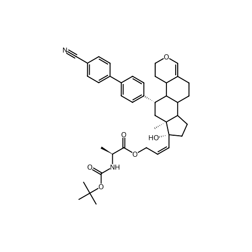 C[C@H](NC(=O)OC(C)(C)C)C(=O)OC/C=C\[C@]1(O)CCC2C3CCC4=COCCC4C3[C@@H](c3ccc(-c4ccc(C#N)cc4)cc3)C[C@@]21C